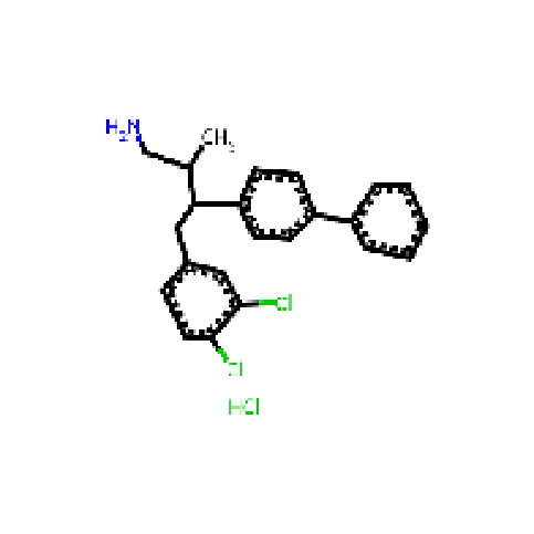 CC(CN)C(Cc1ccc(Cl)c(Cl)c1)c1ccc(-c2ccccc2)cc1.Cl